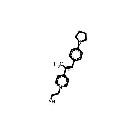 C/C(=C\c1ccc(N2CCCC2)cc1)c1cc[n+](CCS)cc1